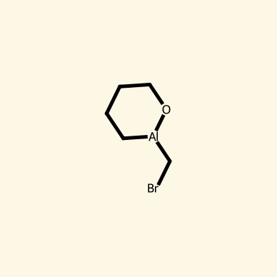 Br[CH2][Al]1[CH2]CCC[O]1